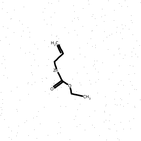 C=C[CH2][Zn][C](=O)OCC